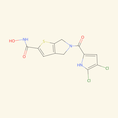 O=C(NO)c1cc2c(s1)CN(C(=O)c1cc(Cl)c(Cl)[nH]1)C2